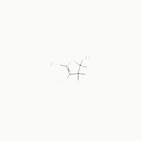 CC1=C(C)C(F)(F)C(C)(F)O1